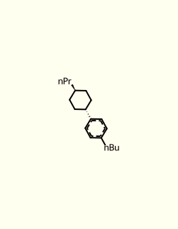 CCCCc1ccc([C@H]2CC[C@H](CCC)CC2)cc1